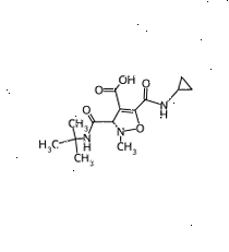 CN1OC(C(=O)NC2CC2)=C(C(=O)O)C1C(=O)NC(C)(C)C